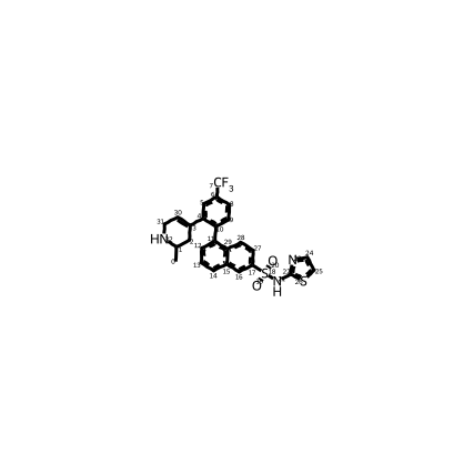 CC1CC(c2cc(C(F)(F)F)ccc2-c2cccc3cc(S(=O)(=O)Nc4nccs4)ccc23)=CCN1